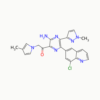 Cc1ccn(CC(=O)c2nc(-c3cc(Cl)c4ncccc4c3)c(-c3ccn(C)n3)nc2N)c1